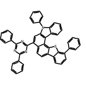 c1ccc(-c2nc(-c3ccccc3)nc(-c3cc4c(c5ccccc5n4-c4ccccc4)c4c3ccc3c5cccc(-c6ccccc6)c5sc34)n2)cc1